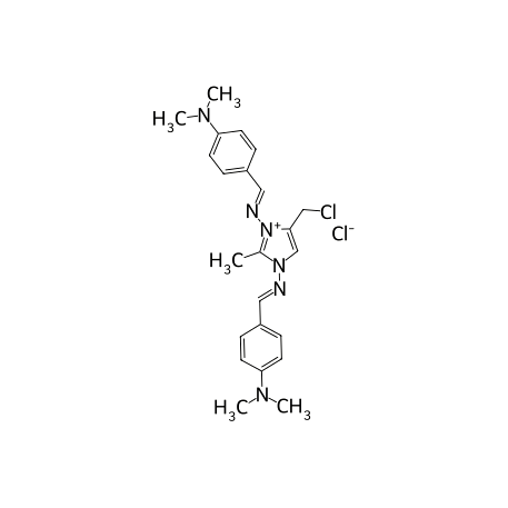 Cc1n(N=Cc2ccc(N(C)C)cc2)cc(CCl)[n+]1N=Cc1ccc(N(C)C)cc1.[Cl-]